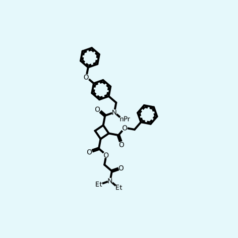 CCCN(Cc1ccc(Oc2ccccc2)cc1)C(=O)C1CC(C(=O)OCC(=O)N(CC)CC)C1C(=O)OCc1ccccc1